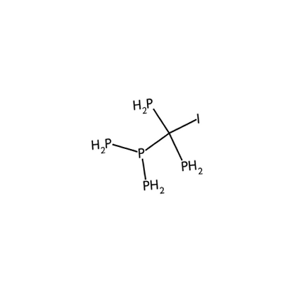 PP(P)C(P)(P)I